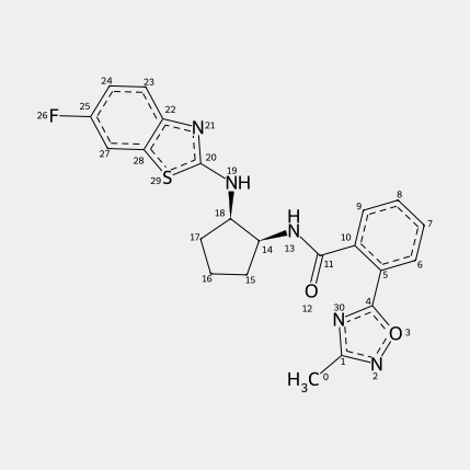 Cc1noc(-c2ccccc2C(=O)N[C@H]2CCC[C@H]2Nc2nc3ccc(F)cc3s2)n1